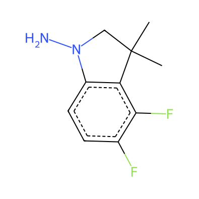 CC1(C)CN(N)c2ccc(F)c(F)c21